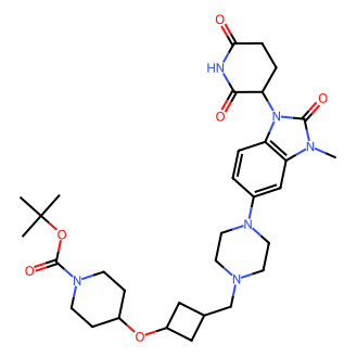 Cn1c(=O)n(C2CCC(=O)NC2=O)c2ccc(N3CCN(CC4CC(OC5CCN(C(=O)OC(C)(C)C)CC5)C4)CC3)cc21